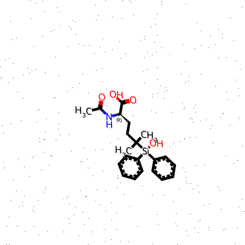 CC(=O)N[C@H](CCC(C)(C)[Si](O)(c1ccccc1)c1ccccc1)C(=O)O